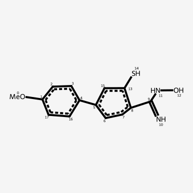 COc1ccc(-c2ccc(C(=N)NO)c(S)c2)cc1